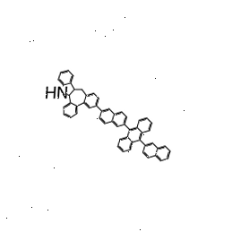 c1ccc2c(c1)NC1c3ccccc3-c3cc(-c4ccc5cc(-c6c7ccccc7c(-c7ccc8ccccc8c7)c7ccccc67)ccc5c4)ccc3CC21